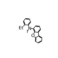 CCc1ccccc1N(I)c1cccc2c1oc1ccccc12